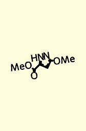 COC(=O)c1cc(OC)n[nH]1